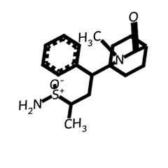 CC(CC(c1ccccc1)C12CCC(CC1)C(=O)N2C)[S+](N)[O-]